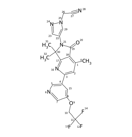 Cc1cc(-c2cncc(OCC(F)(F)F)c2)nc2c1C(=O)N(c1cnn(CC#N)c1)C2(C)C